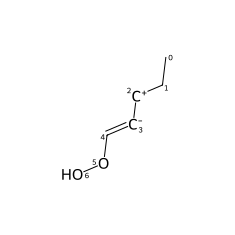 CC[CH+][C-]=COO